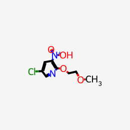 COCCOc1ncc(Cl)cc1[N+](=O)O